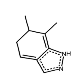 CC1=c2[nH]ncc2=CCC1C